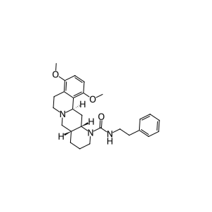 COc1ccc(OC)c2c1CCN1C[C@H]3CCCN(C(=O)NCCc4ccccc4)[C@H]3C[C@H]21